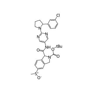 C[S+]([O-])c1ccc2c(c1)CN(C(=O)OC(C)(C)C)C2C(=O)Nc1cnc(N2CCCC2c2cccc(Cl)c2)nc1